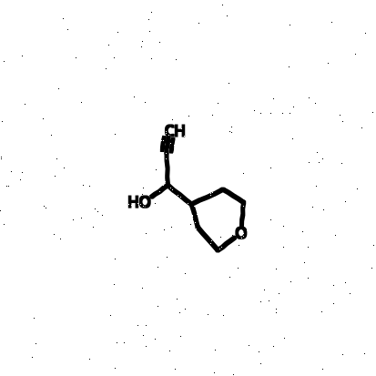 C#CC(O)C1CCOCC1